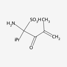 C=C(C)C(=O)C(N)(C(C)C)S(=O)(=O)O